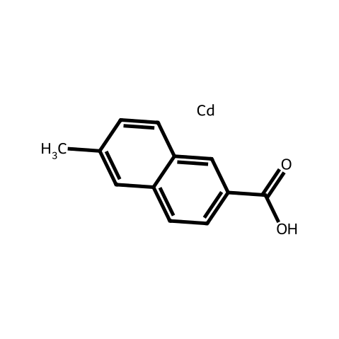 Cc1ccc2cc(C(=O)O)ccc2c1.[Cd]